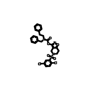 O=C(Oc1noc2c1CN(S(=O)(=O)c1cc(Cl)ccc1Cl)CC2)N(CCc1ccccc1)Cc1ccccc1